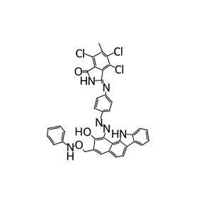 Cc1c(Cl)c(Cl)c2c(c1Cl)C(=O)N/C2=N\c1ccc(N=Nc2c(O)c(CONc3ccccc3)cc3ccc4c5ccccc5[nH]c4c23)cc1